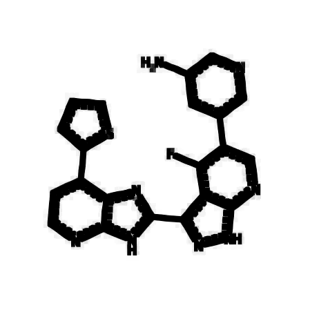 Nc1cncc(-c2cnc3[nH]nc(-c4nc5c(-c6cccs6)ccnc5[nH]4)c3c2F)c1